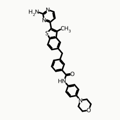 Cc1c(-c2ccnc(N)n2)sc2ccc(Cc3cccc(C(=O)Nc4ccc(N5CCOCC5)cc4)c3)cc12